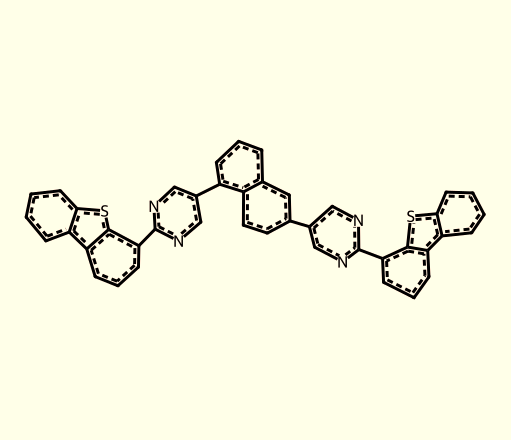 c1cc(-c2cnc(-c3cccc4c3sc3ccccc34)nc2)c2ccc(-c3cnc(-c4cccc5c4sc4ccccc45)nc3)cc2c1